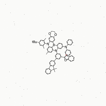 Cc1cc2c3c(c1)N(c1c(C)cc(C(C)(C)C)cc1C)c1cc4c(cc1B3c1ccc(N(c3ccccc3)c3ccccc3)cc1N2c1cc(-c2ccc3c(c2)C(C)(C)c2ccccc2-3)cc(-c2cc3ccccc3o2)c1)OCCO4